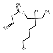 C=COC=C.CCC(O)(CC)CCCCO